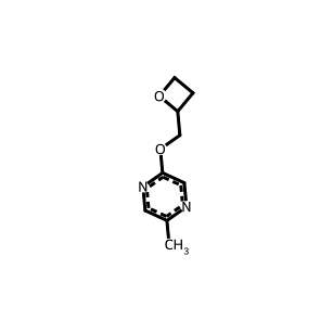 Cc1cnc(OCC2CCO2)cn1